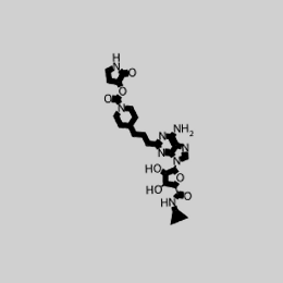 Nc1nc(CCCC2CCN(C(=O)OC3CCNC3=O)CC2)nc2c1ncn2[C@@H]1O[C@H](C(=O)NC2CC2)[C@H](O)C1O